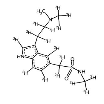 [2H]c1[nH]c2c([2H])c([2H])c(C([2H])([2H])S(=O)(=O)NC([2H])([2H])[2H])c([2H])c2c1C([2H])([2H])C([2H])([2H])N(C)C([2H])([2H])[2H]